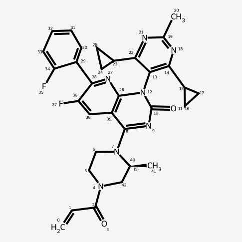 C=CC(=O)N1CCN(c2nc(=O)n(-c3c(C4CC4)nc(C)nc3C3CC3)c3nc(-c4ccccc4F)c(F)cc23)[C@@H](C)C1